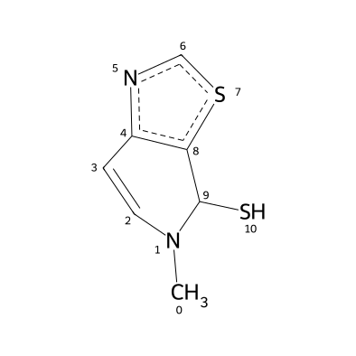 CN1C=Cc2ncsc2C1S